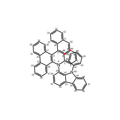 c1ccc(N(c2c(-c3cccc4ccccc34)c3ccccc3c3ccccc23)c2cccc3c4ccccc4n(-c4ccccc4)c23)cc1